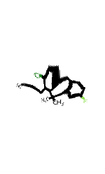 CC(=O)CCc1c(Cl)ccc2c1C(C)(C)c1cc(F)ccc1-2